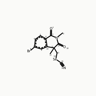 CN1C(=O)c2ccc(Br)cc2C(C)(C[Se]C#N)C1=O